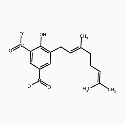 CC(C)=CCC/C(C)=C/Cc1cc([N+](=O)[O-])cc([N+](=O)[O-])c1O